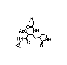 CC(=O)OC(C(=O)NC1CC1)C(CC1CCNC1=O)NC(=O)CN